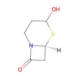 O=C1C[C@@H]2SC(O)CCN12